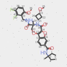 CCC(C)(CC)NC(=O)c1ccc2c3c(oc2c1)C(=O)N([C@H]1C[C@@H](OC)C1)C(C)(C(=O)NCc1c(OC)ccc(F)c1F)CO3